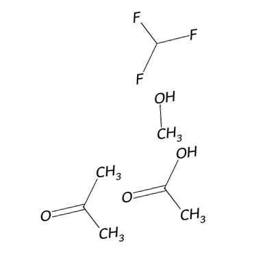 CC(=O)O.CC(C)=O.CO.FC(F)F